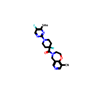 CSc1nc(N2CCC(F)(C(=O)N3CCOc4c(C#N)cncc4C3)CC2)ncc1F